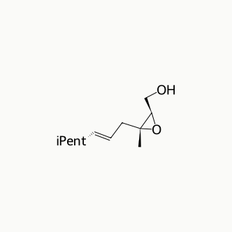 CCC[C@@H](C)/C=C/C[C@@]1(C)O[C@@H]1CO